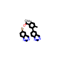 Brc1ccc2ncncc2c1.COC(=O)c1ccc(C)c(-c2ccc3ncncc3c2)c1